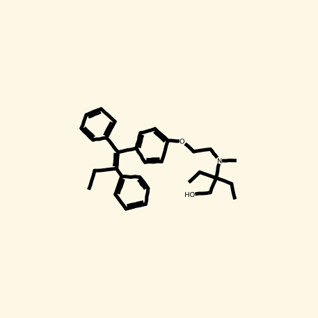 CC/C(=C(\c1ccccc1)c1ccc(OCCN(C)C(CC)(CC)CO)cc1)c1ccccc1